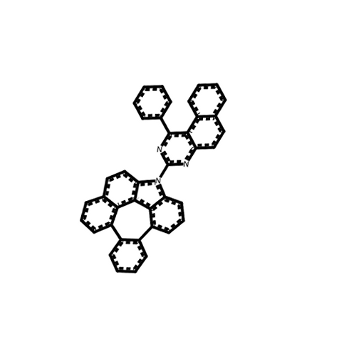 c1ccc(-c2nc(-n3c4cccc5c4c4c6c(cccc6ccc43)-c3ccccc3-5)nc3ccc4ccccc4c23)cc1